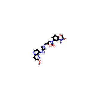 COc1ccc2nccc(NC3CN(CC4CN(c5ccc6c(c5)NC(=O)CO6)C(=O)O4)C3)c2n1